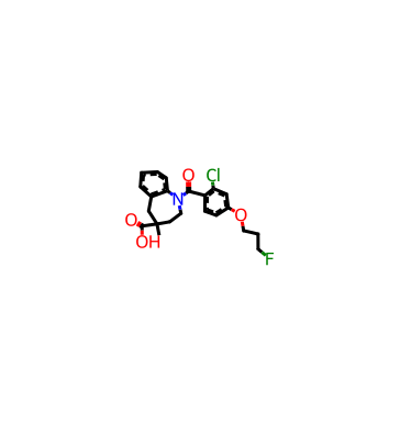 CC1(C(=O)O)CCN(C(=O)c2ccc(OCCCF)cc2Cl)c2ccccc2C1